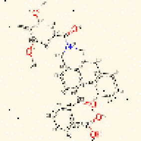 COc1cc(C(=O)N(CCCc2ccccc2)Cc2ccc(C(=O)c3ccccc3C(=O)O)cc2)cc(OC)c1C